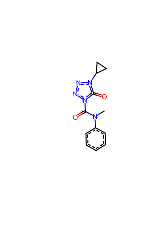 CN(C(=O)n1nnn(C2CC2)c1=O)c1ccccc1